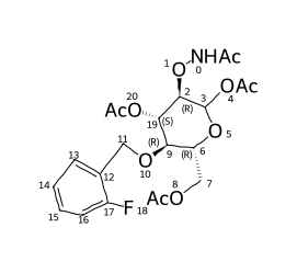 CC(=O)NO[C@H]1C(OC(C)=O)O[C@H](COC(C)=O)[C@@H](OCc2ccccc2F)[C@@H]1OC(C)=O